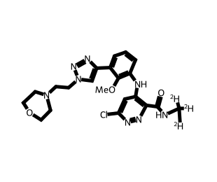 [2H]C([2H])([2H])NC(=O)c1nnc(Cl)cc1Nc1cccc(-c2cn(CCN3CCOCC3)nn2)c1OC